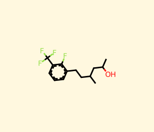 CC(O)CC(C)CCc1cccc(C(F)(F)F)c1F